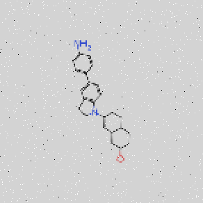 Nc1ccc(-c2ccc3c(c2)CCN3C2=CC3=CC(=O)CCC3CC2)cc1